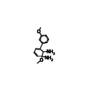 COc1cccc(C2=CC=CC(N)(OC)C2N)c1